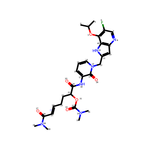 CC(C)Oc1c(F)cnc2cc(Cn3cccc(NC(=O)C(CC/C=C/C(=O)N(C)C)OC(=O)N(C)C)c3=O)[nH]c12